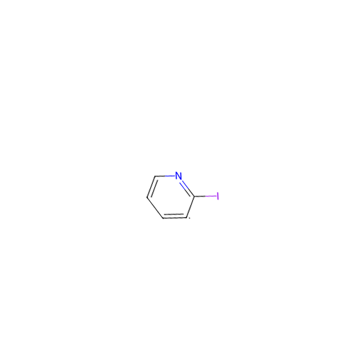 Ic1[c]cccn1